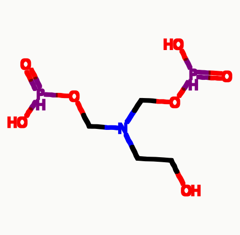 O=[PH](O)OCN(CCO)CO[PH](=O)O